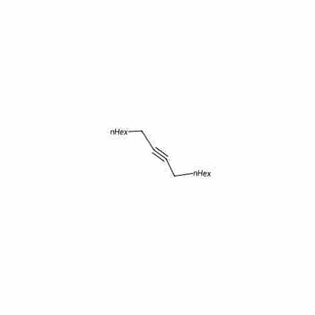 [CH2]CCCCCCC#CCCCCCCC